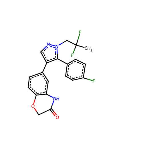 CC(F)(F)Cn1ncc(-c2ccc3c(c2)NC(=O)CO3)c1-c1ccc(F)cc1